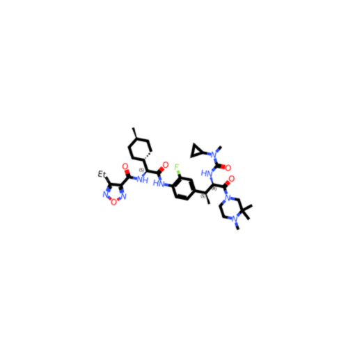 CCc1nonc1C(=O)N[C@H](C(=O)Nc1ccc([C@H](C)[C@@H](NC(=O)N(C)C2CC2)C(=O)N2CCN(C)C(C)(C)C2)cc1F)[C@H]1CC[C@H](C)CC1